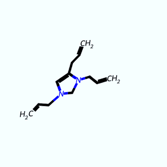 C=CCC1=CN(CC=C)CN1CC=C